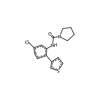 O=C(Nc1cc(Cl)ccc1-c1ccsc1)N1CCCC1